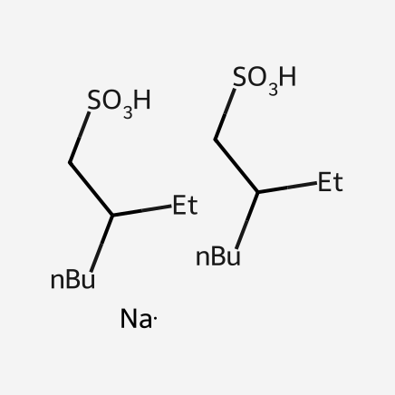 CCCCC(CC)CS(=O)(=O)O.CCCCC(CC)CS(=O)(=O)O.[Na]